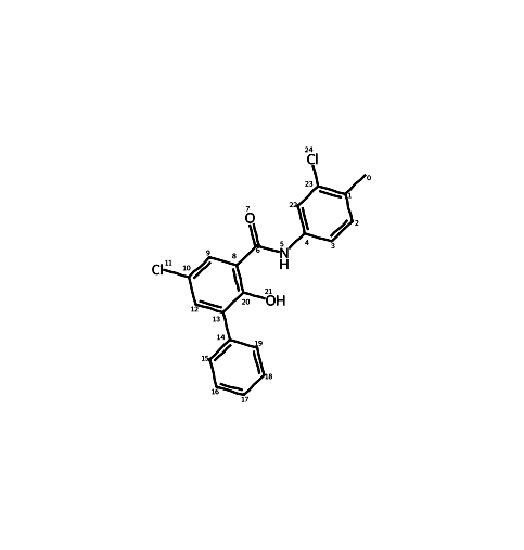 Cc1ccc(NC(=O)c2cc(Cl)cc(-c3ccccc3)c2O)cc1Cl